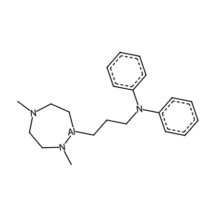 CN1CC[N](C)[Al]([CH2]CCN(c2ccccc2)c2ccccc2)[CH2]C1